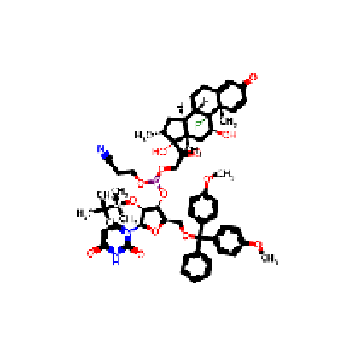 COc1ccc(C(OC[C@H]2O[C@@H](n3ccc(=O)[nH]c3=O)[C@H](O[Si](C)(C)C(C)(C)C)[C@@H]2OP(OCCC#N)OCC(=O)[C@@]2(O)[C@H](C)C[C@H]3[C@@H]4CCC5=CC(=O)C=C[C@]5(C)[C@@]4(F)[C@@H](O)C[C@@]32C)(c2ccccc2)c2ccc(OC)cc2)cc1